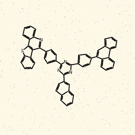 c1ccc2cc(-c3nc(-c4ccc(-c5cc6ccccc6c6ccccc56)cc4)nc(-c4ccc(-c5nc6ccccc6c6sc7ccccc7c56)cc4)n3)ccc2c1